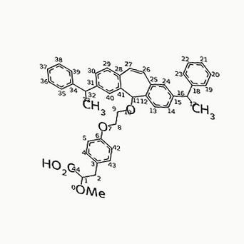 COC(Cc1ccc(OCCOC2c3ccc(C(C)c4ccccc4)cc3C=Cc3ccc(C(C)c4ccccc4)cc32)cc1)C(=O)O